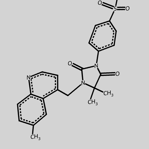 Cc1ccc2nccc(CN3C(=O)N(c4ccc(S(=O)(=O)C(F)(F)F)cc4)C(=O)C3(C)C)c2c1